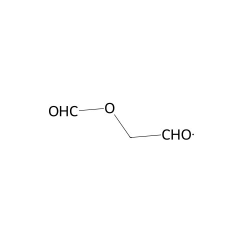 O=[C]COC=O